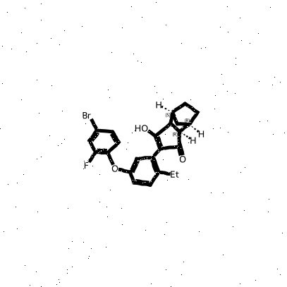 CCc1ccc(Oc2ccc(Br)cc2F)cc1C1=C(O)C2[C@H]3CC[C@H](C3)[C@H]2C1=O